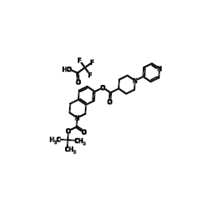 CC(C)(C)OC(=O)N1CCc2ccc(OC(=O)C3CCN(c4ccncc4)CC3)cc2C1.O=C(O)C(F)(F)F